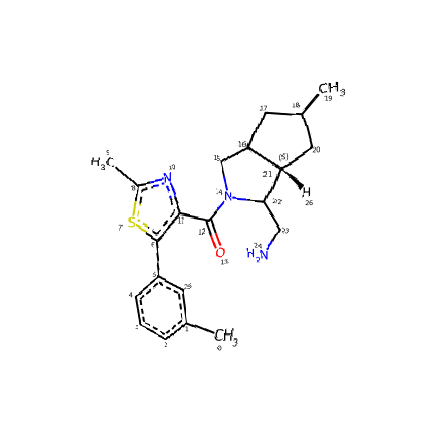 Cc1cccc(-c2sc(C)nc2C(=O)N2CC3CC(C)C[C@@H]3C2CN)c1